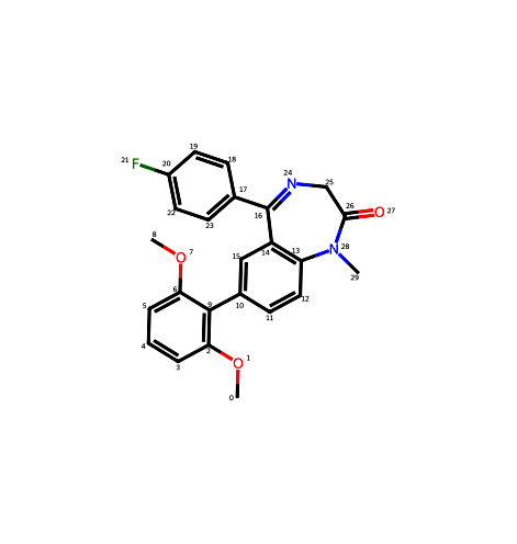 COc1cccc(OC)c1-c1ccc2c(c1)C(c1ccc(F)cc1)=NCC(=O)N2C